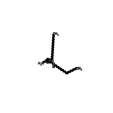 CCCCCCCC/C=C\CCCCCCCCCC(=O)OC[C@H](COP(=O)(O)OCCN)OC(=O)CCCCCCCCCCCCCCCCCCC